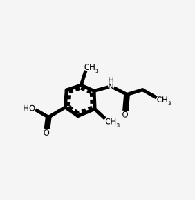 CCC(=O)Nc1c(C)cc(C(=O)O)cc1C